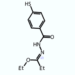 CCO/C(CC)=N\NC(=O)c1ccc(S)cc1